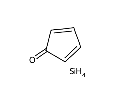 O=C1C=CC=C1.[SiH4]